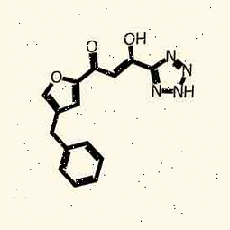 O=C(C=C(O)c1nn[nH]n1)c1cc(Cc2ccccc2)co1